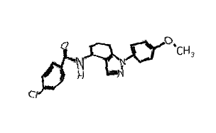 COc1ccc(-n2ncc3c2CCCC3NC(=O)c2ccc(Cl)cc2)cc1